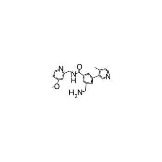 COc1ccnc(CNC(=O)c2cc(CN)cc(-c3cnccc3C)c2)c1